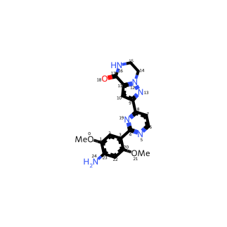 COc1cc(-c2nccc(-c3cc4n(n3)CCNC4=O)n2)c(OC)cc1N